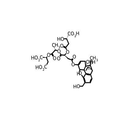 C[C@H](OC(=O)[C@H](CC(=O)OC1=CC[C@@]2(O)[C@H]3Cc4ccc(CO)c5c4[C@@]2(CCN3C)[C@H]1O5)OC(=O)C[C@H](O)C(=O)O)C(=O)O[C@@H](CC(=O)O)C(=O)O